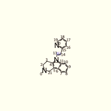 CN1CCc2c(c3ccccc3n2/C=C/c2ccccn2)C1